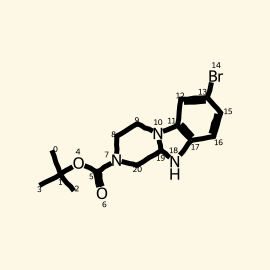 CC(C)(C)OC(=O)N1CCN2c3cc(Br)ccc3NC2C1